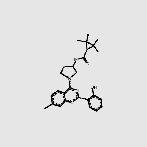 Cc1ccc2c(N3CCC(NC(=O)C4C(C)(C)C4(C)C)C3)nc(-c3ccccc3O)nc2c1